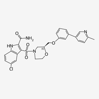 Cc1ccc(-c2cccc(OC[C@@H]3CN(S(=O)(=O)c4c(C(N)=O)[nH]c5ccc(Cl)cc45)CCO3)c2)cn1